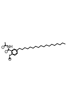 CCCCCCCCCCCCCCCCCCc1ccc(I=O)c(C(=O)NC(C)=O)c1